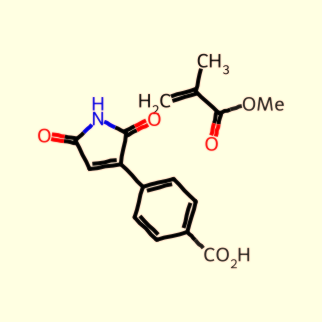 C=C(C)C(=O)OC.O=C1C=C(c2ccc(C(=O)O)cc2)C(=O)N1